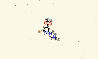 CC(=O)N1CCN(c2cc(C(=O)OC(C)(C)C)cc(Br)n2)CC1